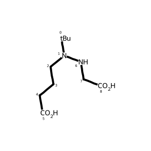 CC(C)(C)N(CCCC(=O)O)NCC(=O)O